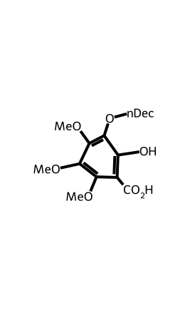 CCCCCCCCCCOc1c(O)c(C(=O)O)c(OC)c(OC)c1OC